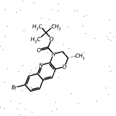 C[C@H]1CN(C(=O)OC(C)(C)C)c2nc3cc(Br)ccc3cc2O1